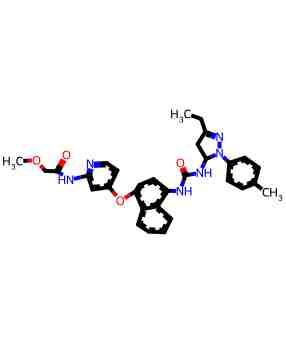 CCC1=NN(c2ccc(C)cc2)C(NC(=O)Nc2ccc(Oc3ccnc(NC(=O)COC)c3)c3ccccc23)C1